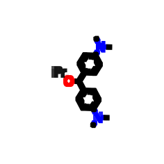 CC(C)OC(c1ccc(N(C)C)cc1)c1ccc(N(C)C)cc1